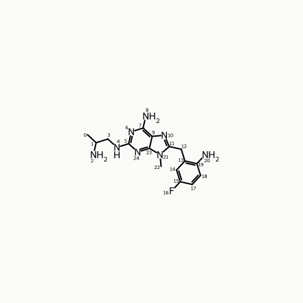 CC(N)CNc1nc(N)c2nc(Cc3cc(F)ccc3N)n(C)c2n1